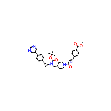 COC(=O)c1ccc(/C=C/C(=O)N2CCC(CN(C(=O)OC(C)(C)C)C3CC3c3ccc(-c4cncnc4)cc3)CC2)cc1